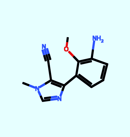 COc1c(N)cccc1-c1ncn(C)c1C#N